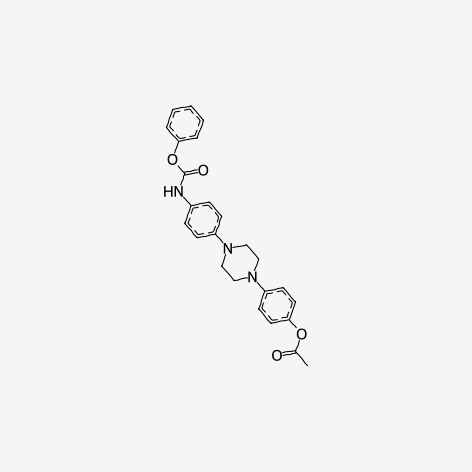 CC(=O)Oc1ccc(N2CCN(c3ccc(NC(=O)Oc4ccccc4)cc3)CC2)cc1